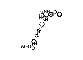 COC(=O)c1ccc(N2CC(N3CC(N4CCC(n5nc(-c6ccc(Oc7ccccc7)cc6)c6c(N)ncnc65)CC4)C3)C2)cn1